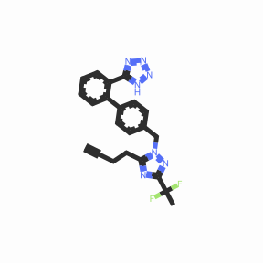 C#CCCc1nc(C(C)(F)F)nn1Cc1ccc(-c2ccccc2-c2nnn[nH]2)cc1